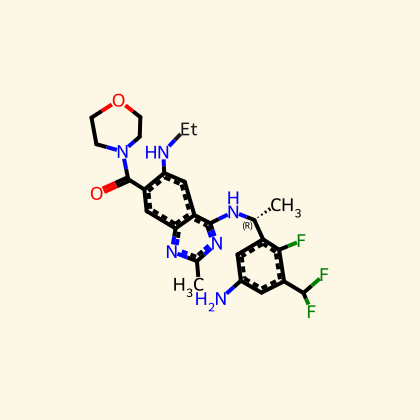 CCNc1cc2c(N[C@H](C)c3cc(N)cc(C(F)F)c3F)nc(C)nc2cc1C(=O)N1CCOCC1